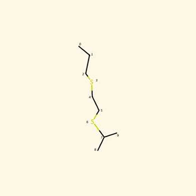 CCCSCCSC(C)C